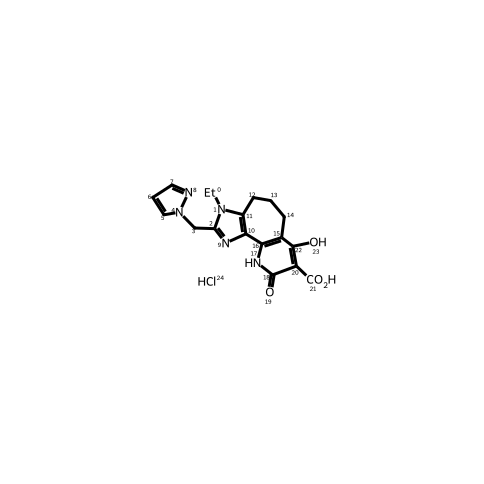 CCn1c(Cn2cccn2)nc2c1CCCc1c-2[nH]c(=O)c(C(=O)O)c1O.Cl